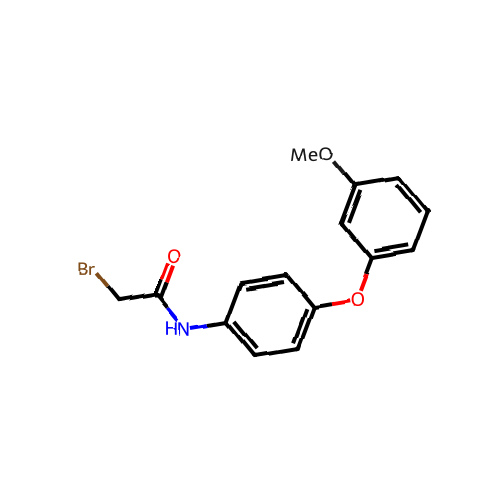 COc1cccc(Oc2ccc(NC(=O)CBr)cc2)c1